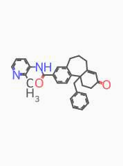 Cc1ncccc1NC(=O)c1ccc2c(c1)CCCC1=CC(=O)CCC12Cc1ccccc1